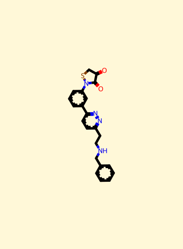 O=C1CSN(c2cccc(-c3ccc(CCNCc4ccccc4)nn3)c2)C1=O